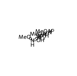 COc1ccc(Nc2ccc3c(O)c(N=Nc4cc(C)c(N=Nc5cc(C)c(N=Nc6ccccc6)cc5OC)cc4OC)c(S(=O)(=O)O)cc3c2)cc1